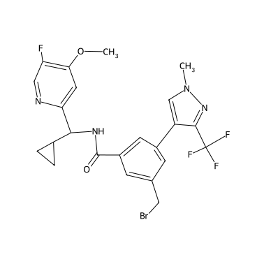 COc1cc(C(NC(=O)c2cc(CBr)cc(-c3cn(C)nc3C(F)(F)F)c2)C2CC2)ncc1F